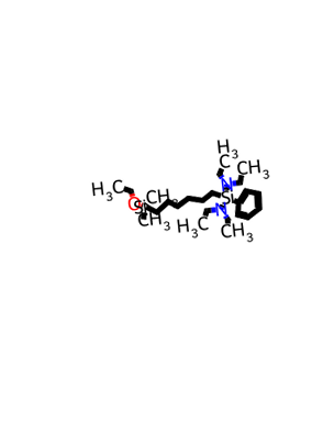 CCO[Si](C)(C)CCCCCC[Si](c1ccccc1)(N(CC)CC)N(CC)CC